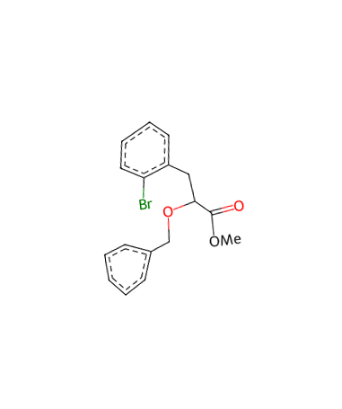 COC(=O)C(Cc1ccccc1Br)OCc1ccccc1